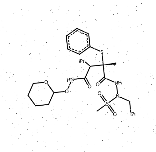 CC(C)CN(NC(=O)[C@@](C)(Sc1ccccc1)C(C(=O)NOC1CCCCO1)C(C)C)S(C)(=O)=O